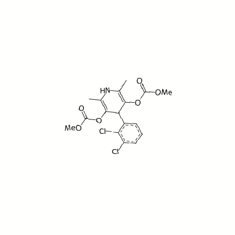 COC(=O)OC1=C(C)NC(C)=C(OC(=O)OC)C1c1cccc(Cl)c1Cl